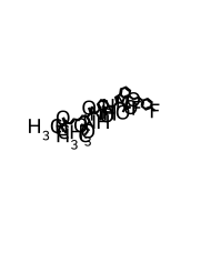 COC(=O)NC(CCC=CC(=O)N(C)C)C(=O)Nc1cccn(Cc2cc3cccc(OCc4ccc(F)cc4F)c3n2C(=O)O)c1=O